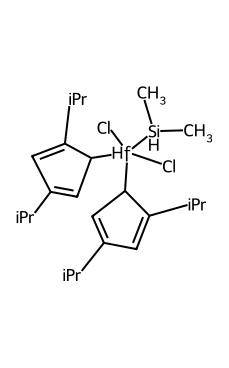 CC(C)C1=C[CH]([Hf]([Cl])([Cl])([CH]2C=C(C(C)C)C=C2C(C)C)[SiH](C)C)C(C(C)C)=C1